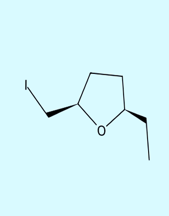 CC[C@@H]1CC[C@H](CI)O1